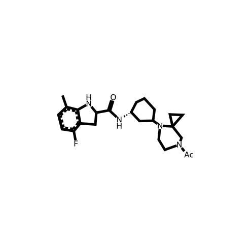 CC(=O)N1CCN(C2CCC[C@@H](NC(=O)C3Cc4c(F)ccc(C)c4N3)C2)C2(CC2)C1